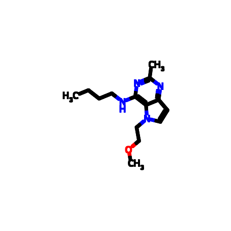 CCCCNc1nc(C)nc2ccn(CCOC)c12